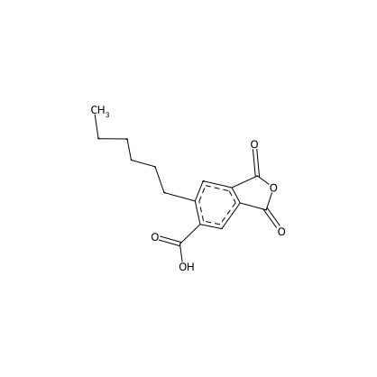 CCCCCCc1cc2c(cc1C(=O)O)C(=O)OC2=O